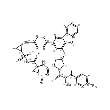 C=C[C@@H]1C[C@]1(NC(=O)[C@@H]1C[C@@H](Oc2nc(-c3ccc(C(C)(C)C)cc3)nc3c2oc2cccnc23)CN1C(=O)[C@@H](Nc1ccc(F)cc1)C(C)(C)C)C(=O)NS(=O)(=O)C1CC1